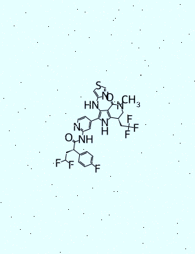 CN1C[C@@H](CC(F)(F)F)c2[nH]c(-c3ccnc(NC(=O)[C@H](CC(F)F)c4ccc(F)cc4)c3)c(Nc3cscn3)c2C1=O